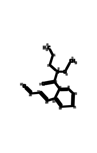 CCCN(OC)C(=O)c1ccccc1/C=C/[C]=O